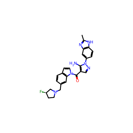 Cc1nc2cc(-n3ncc(C(=O)n4ccc5ccc(CN6CC[C@@H](F)C6)cc54)c3N)ccc2[nH]1